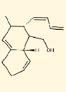 C=C/C=C\[C@H]1C(C)C=C2CCC=C[C@H]2C1CO